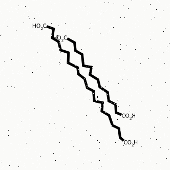 O=C(O)CCCCCCCCCCCCC(=O)O.O=C(O)CCCCCCCCCCCCCCCCCCC(=O)O